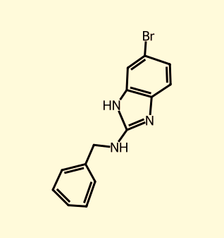 Brc1ccc2nc(NCc3ccccc3)[nH]c2c1